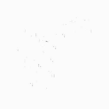 Cc1ccnc(C(C)C)c1-n1c(=O)nc(N2CCN(C(=O)OC(C)(C)C)C[C@@H]2C)c2cc(C(F)(F)F)c(Br)c(F)c21